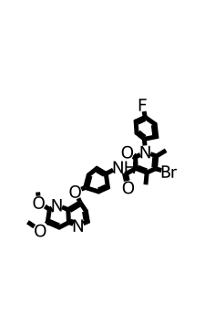 COc1cc2nccc(Oc3ccc(NC(=O)c4c(C)c(Br)c(C)n(-c5ccc(F)cc5)c4=O)cc3)c2nc1OC